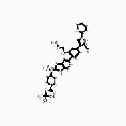 COCOc1cc(-c2cn(C3CCCCO3)nc2F)ccc1-c1cc2sc(N(C)C3CCN(C(=O)OC(C)(C)C)CC3)nc2nn1